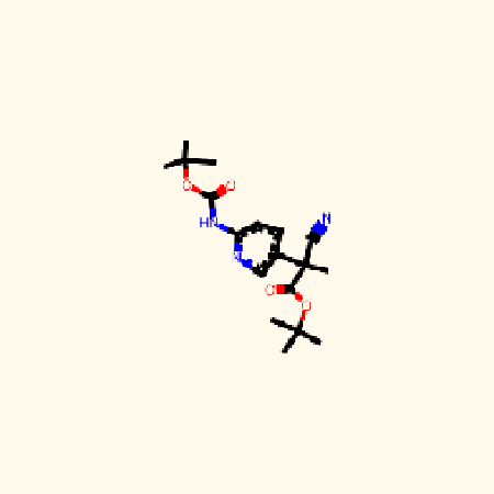 CC(C)(C)OC(=O)Nc1ccc(C(C)(C#N)C(=O)OC(C)(C)C)cn1